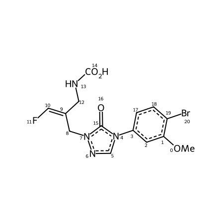 COc1cc(-n2cnn(C/C(=C\F)CNC(=O)O)c2=O)ccc1Br